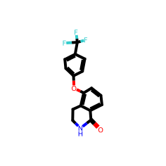 O=C1NCCc2c(Oc3ccc(C(F)(F)F)cc3)cccc21